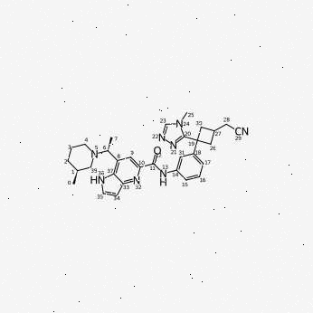 C[C@H]1CCCN([C@@H](C)c2cc(C(=O)Nc3cccc(C4(c5nncn5C)CC(CC#N)C4)c3)nc3cc[nH]c23)C1